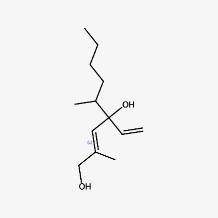 C=CC(O)(/C=C(\C)CO)C(C)CCCC